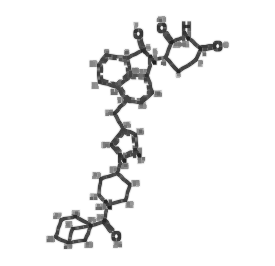 O=C1CCC(N2C(=O)c3cccc4c(Cc5cnn(C6CCN(C(=O)C78CCCC(C7)C8)CC6)c5)ccc2c34)C(=O)N1